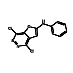 Clc1nnc(Cl)c2oc(Nc3ccccc3)cc12